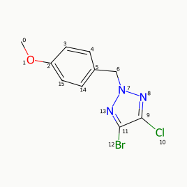 COc1ccc(Cn2nc(Cl)c(Br)n2)cc1